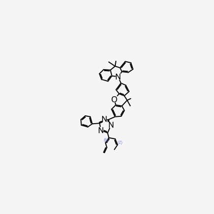 C=C/C=C(\C=C/C)c1nc(-c2ccccc2)nc(-c2ccc3c(c2)Oc2cc(N4c5ccccc5C(C)(C)c5ccccc54)ccc2C3(C)C)n1